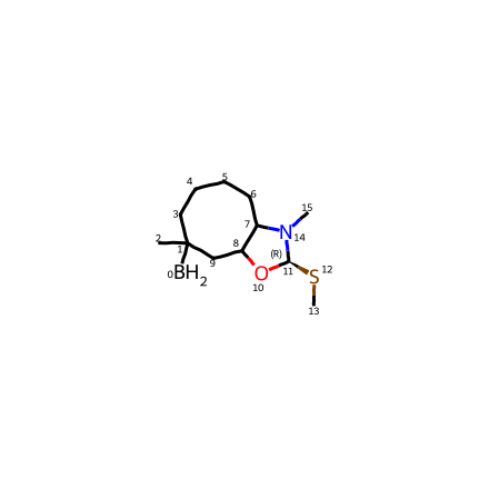 BC1(C)CCCCC2C(C1)O[C@H](SC)N2C